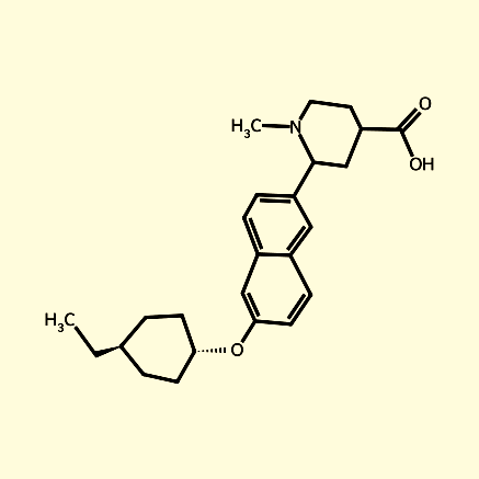 CC[C@H]1CC[C@H](Oc2ccc3cc(C4CC(C(=O)O)CCN4C)ccc3c2)CC1